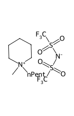 CCCCC[N+]1(C)CCCCC1.O=S(=O)([N-]S(=O)(=O)C(F)(F)F)C(F)(F)F